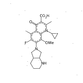 COc1c(N2CC3CCCNC3C2)c(F)c(C)c2c(=O)c(C(=O)O)c(C)n(C3CC3)c12